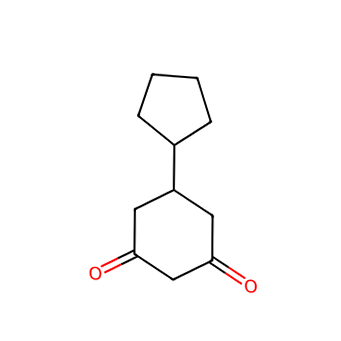 O=C1CC(=O)CC(C2CCCC2)C1